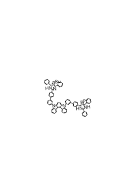 CCCCN1C(c2ccccc2)=NC(c2ccc(-c3cccc(-n4c5ccccc5c5c6c7ccccc7n(-c7cccc(-c8ccc(C9NC(c%10ccccc%10)NC(c%10ccccc%10)N9CCC)cc8)c7)c6ccc54)c3)cc2)NC1c1ccccc1